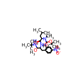 CC(C)CC(C(=O)NC(Cc1ccc([N+](=O)[O-])cc1)C(=O)NC(C)(C)C)N(C)C(=O)OC(C)(C)C